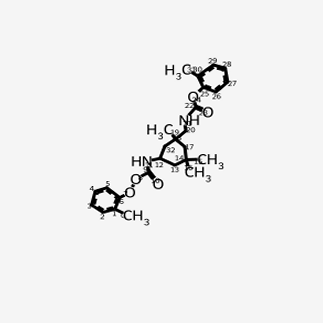 Cc1ccccc1OOC(=O)NC1CC(C)(C)CC(C)(CNC(=O)Oc2ccccc2C)C1